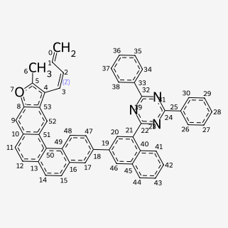 C=C/C=C\c1c(C)oc2cc3ccc4ccc5cc(-c6cc(-c7nc(-c8ccccc8)nc(-c8ccccc8)n7)c7ccccc7c6)ccc5c4c3cc12